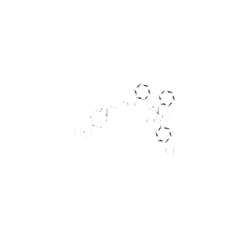 O=S(=O)(c1ccc(Cl)cc1)N(Cc1ccccc1OCCCN1CCC(O)CC1)c1ccccc1